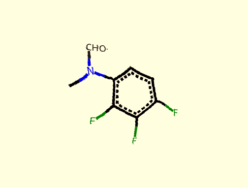 CN([C]=O)c1ccc(F)c(F)c1F